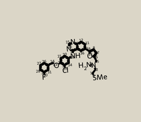 CSCCN(N)Cc1ccc(-c2ccc3ncnc(Nc4ccc(OCc5cccc(F)c5)c(Cl)c4)c3c2)o1